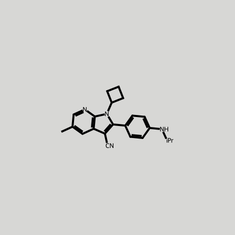 Cc1cnc2c(c1)c(C#N)c(-c1ccc(NC(C)C)cc1)n2C1CCC1